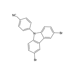 N#Cc1ccc(-n2c3ccc(Br)cc3c3cc(Br)ccc32)cc1